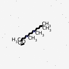 CC(C)=CCC/C(C)=C/CC/C(C)=C/CCC1(C)OCCO1